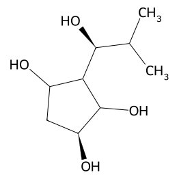 CC(C)[C@H](O)C1C(O)C[C@H](O)C1O